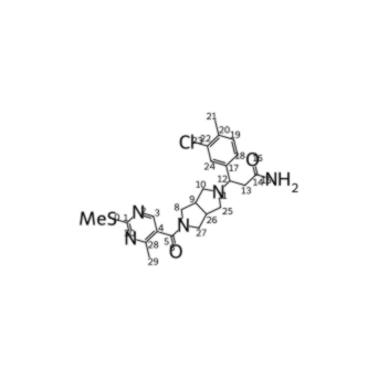 CSc1ncc(C(=O)N2CC3CN(C(CC(N)=O)c4ccc(C)c(Cl)c4)CC3C2)c(C)n1